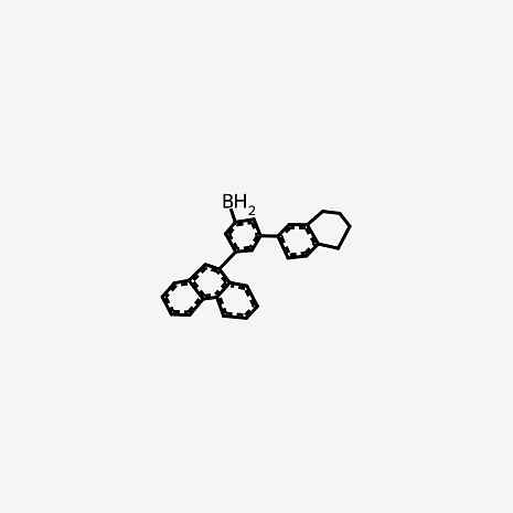 Bc1cc(-c2ccc3c(c2)CCCC3)cc(-c2cc3ccccc3c3ccccc23)c1